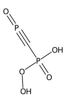 O=P#CP(=O)(O)OO